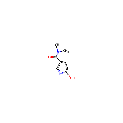 CN(C)C(=O)c1ccc(O)nc1